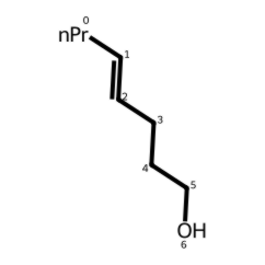 [CH2]CCC=CCCCO